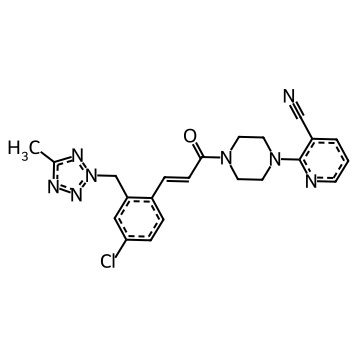 Cc1nnn(Cc2cc(Cl)ccc2C=CC(=O)N2CCN(c3ncccc3C#N)CC2)n1